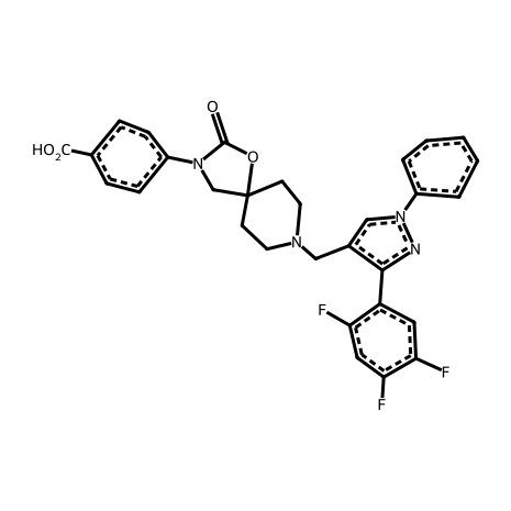 O=C(O)c1ccc(N2CC3(CCN(Cc4cn(-c5ccccc5)nc4-c4cc(F)c(F)cc4F)CC3)OC2=O)cc1